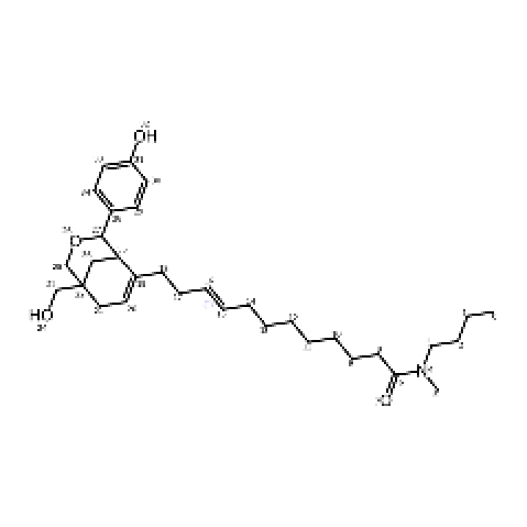 CCCCN(C)C(=O)CCCCCCC/C=C/CCC1=CCC2(CO)COC(c3ccc(O)cc3)C1C2